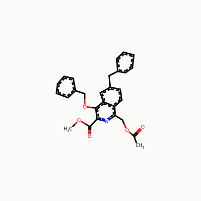 COC(=O)c1nc(COC(C)=O)c2ccc(Cc3ccccc3)cc2c1OCc1ccccc1